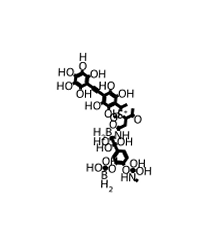 BC(O)(O)Oc1cc(C(O)(O)C(B)(O)NC(=O)CC(C(C)=O)[S+]([O-])C(C)c2c(O)c(O)c(C#Cc3c(O)c(O)c(O)c(O)c3O)c(O)c2O)ccc1OC(O)(O)NC